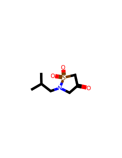 CC(C)CN1CC(=O)CS1(=O)=O